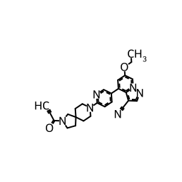 C#CC(=O)N1CCC2(CCN(c3ccc(-c4cc(OCC)cn5ncc(C#N)c45)cn3)CC2)C1